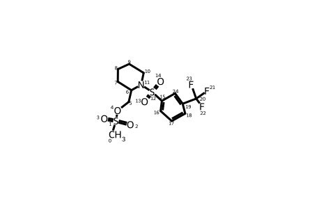 CS(=O)(=O)OCC1CCCCN1S(=O)(=O)c1cccc(C(F)(F)F)c1